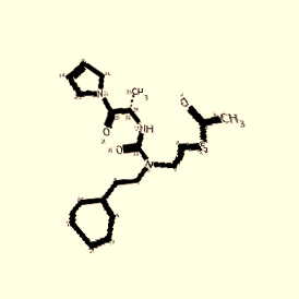 CC(=O)SCCN(CCC1CCCCC1)C(=O)N[C@@H](C)C(=O)N1CC=CC1